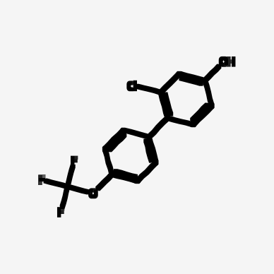 Oc1ccc(-c2ccc(OC(F)(F)F)cc2)c(Cl)c1